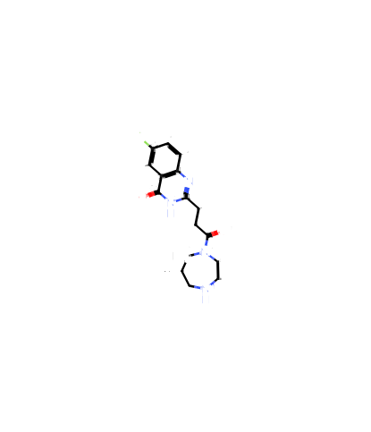 C[C@H]1CNCCN(C(=O)CCc2nc3ccc(F)cc3c(=O)[nH]2)[SiH2]1